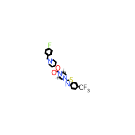 C[C@@H]1CN(c2nc3ccc(C(F)(F)F)cc3s2)C[C@H](C)N1C(=O)OC1CCN(Cc2ccc(F)cc2)CC1